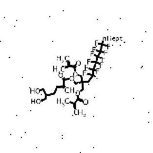 C=C(C)C(=O)OCC(COC(=O)C(=C)C)(COC(=O)C(=C)CCC(CO)CO)CC(F)(F)C(F)(F)C(F)(F)C(F)(F)C(F)(F)C(F)(F)CCCCCCC